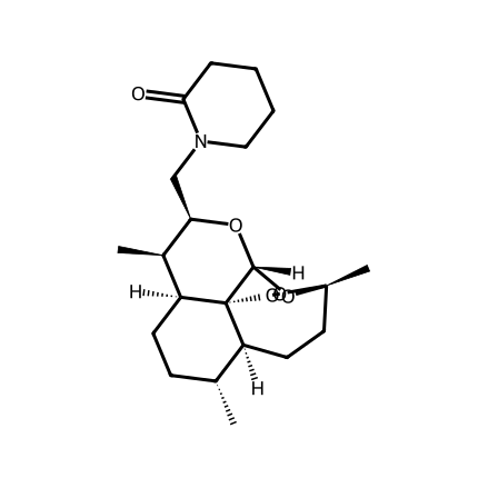 C[C@H]1[C@@H](CN2CCCCC2=O)O[C@@H]2O[C@@]3(C)CC[C@H]4[C@H](C)CC[C@@H]1[C@@]24OO3